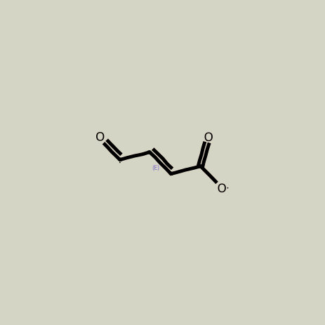 [O]C(=O)/C=C/[C]=O